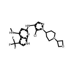 CNc1cc(Nc2cnn(C3CCN(C4COC4)CC3)c2Cl)nc2[nH]cc(C(F)(F)F)c12